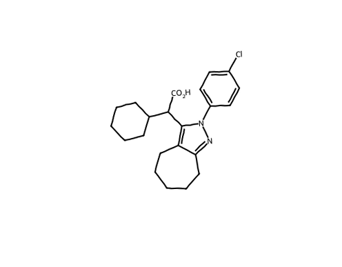 O=C(O)C(c1c2c(nn1-c1ccc(Cl)cc1)CCCCC2)C1CCCCC1